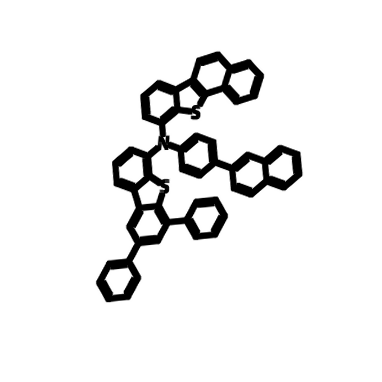 c1ccc(-c2cc(-c3ccccc3)c3sc4c(N(c5ccc(-c6ccc7ccccc7c6)cc5)c5cccc6c5sc5c7ccccc7ccc65)cccc4c3c2)cc1